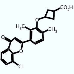 Cc1ccc(-c2cc(=O)c3cccc(Cl)c3o2)c(C)c1OC1CC(C(=O)O)C1